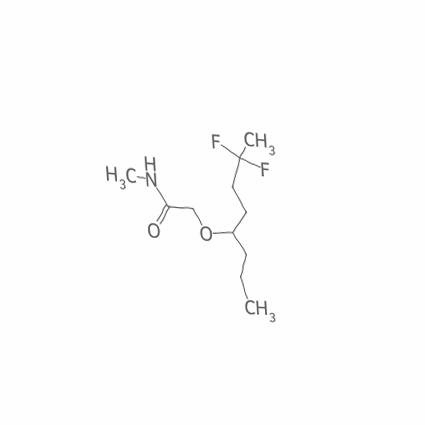 CCCC(CCC(C)(F)F)OCC(=O)NC